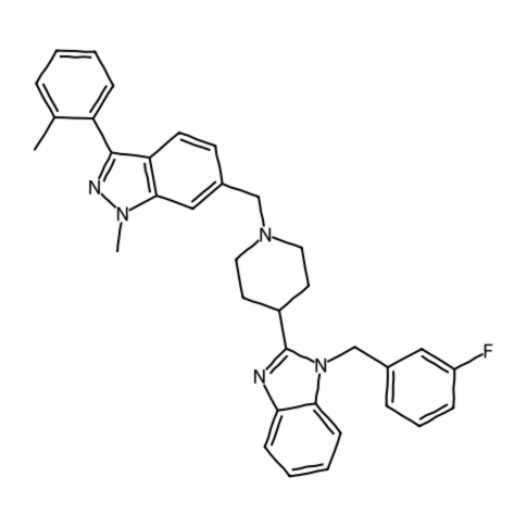 Cc1ccccc1-c1nn(C)c2cc(CN3CCC(c4nc5ccccc5n4Cc4cccc(F)c4)CC3)ccc12